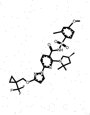 COc1ccc(S(=O)(=O)NC(=O)c2ccc(-n3ccc(OCC4(C(F)(F)F)CC4)n3)nc2N2C[C@@H](C)CC2(C)C)c(C)c1